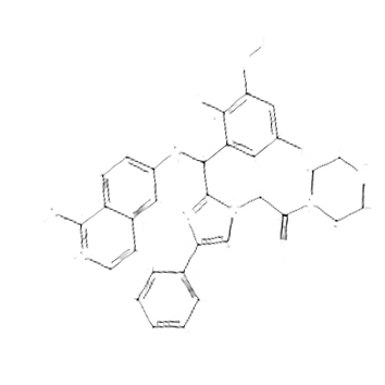 CCOc1cc(CC)cc(C(Nc2ccc3c(N)nccc3c2)c2nc(-c3ccccc3)cn2CC(=O)N2CCOCC2)c1F